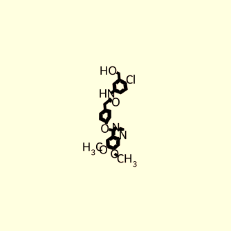 COc1cc2ncnc(Oc3ccc(CC(=O)Nc4ccc(Cl)c(CO)c4)cc3)c2cc1OC